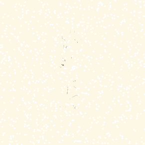 CCC(NC(=O)O)C(=O)N1CCN([C@H](C)CCOc2ccc(C(=O)C3CC3)cc2)CC1